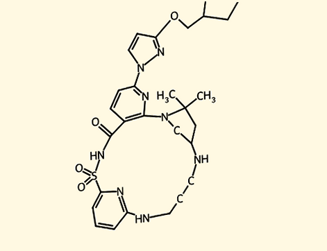 CC1(C)CC2CN1c1nc(-n3ccc(OCC4CCCC4)n3)ccc1C(=O)NS(=O)(=O)c1cccc(n1)NCCCN2